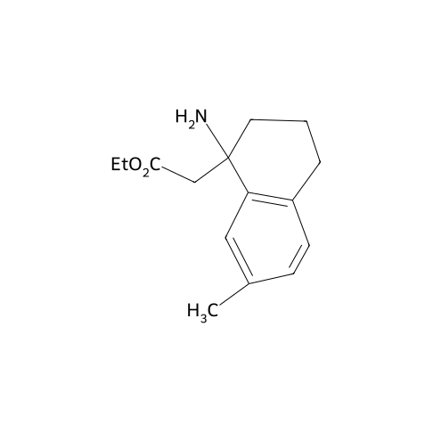 CCOC(=O)CC1(N)CCCc2ccc(C)cc21